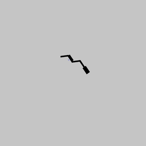 C#CC/C=C/C